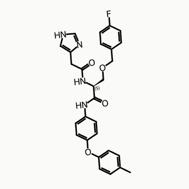 Cc1ccc(Oc2ccc(NC(=O)[C@H](COCc3ccc(F)cc3)NC(=O)Cc3c[nH]cn3)cc2)cc1